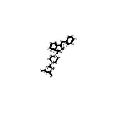 Cc1cc(C)nc(N2CCN(c3nnc(Cc4ccccc4)c4ccccc34)CC2)n1